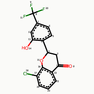 O=C1CC(c2ccc(C(F)(F)F)cc2O)Oc2c(Cl)cccc21